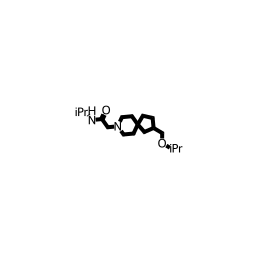 CC(C)NC(=O)CN1CCC2(CCC(COC(C)C)C2)CC1